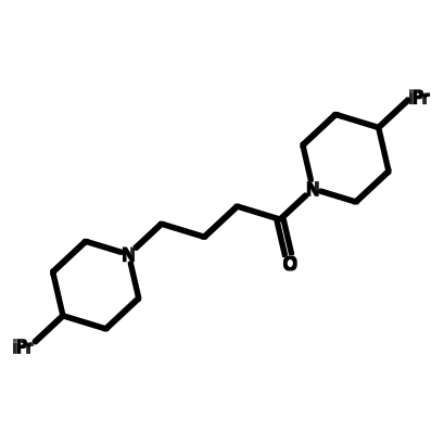 CC(C)C1CCN(CCCC(=O)N2CCC(C(C)C)CC2)CC1